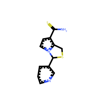 NC(=S)c1ccn2c1CSC2c1cccnc1